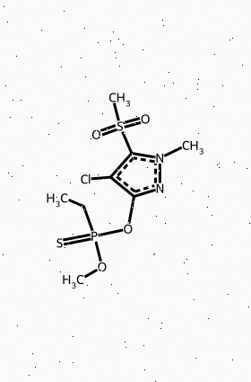 CCP(=S)(OC)Oc1nn(C)c(S(C)(=O)=O)c1Cl